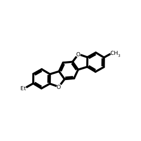 CCc1ccc2c(c1)oc1cc3c(cc12)oc1cc(C)ccc13